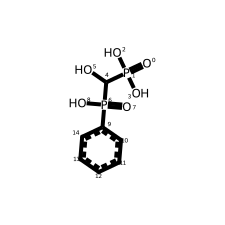 O=P(O)(O)C(O)P(=O)(O)c1ccccc1